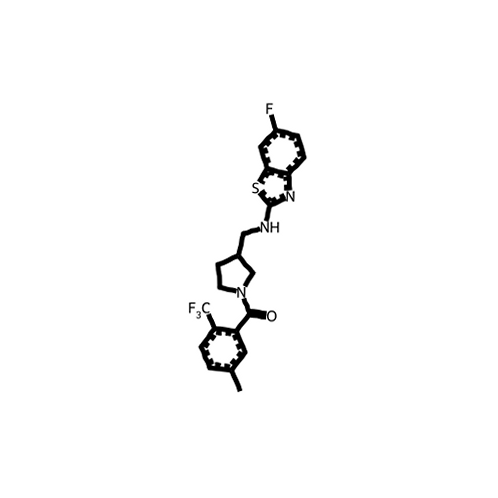 Cc1ccc(C(F)(F)F)c(C(=O)N2CCC(CNc3nc4ccc(F)cc4s3)C2)c1